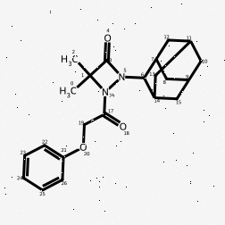 CC1(C)C(=O)N(C2C3CC4CC(C3)CC2C4)N1C(=O)COc1ccccc1